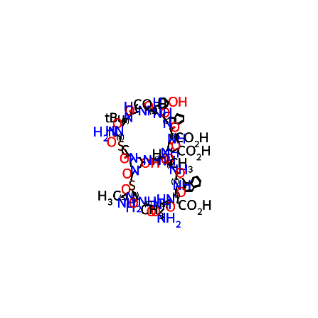 C[C@H](N)C(=O)N[C@H]1CSCC(=O)N2CCN3CC(O)(C2)NC[C@H](NC(=O)[C@@H](C)NC(=O)[C@H](Cc2cccc4ccccc24)NC(=O)[C@H](CCC(=O)O)NC(=O)[C@H](CC(N)=O)NC(=O)[C@@H](C)NC1=O)C(=O)NC(CCC(=O)O)C(=O)N[C@@H](CC(=O)O)C(=O)N[C@@H](Cc1ccccc1)C(=O)N[C@@H](Cc1ccc(O)cc1)C(=O)NC(CC(=O)O)C(=O)N[C@@H](C(C)(C)C)C(=O)N[C@H](C(N)=O)CSCC3=O